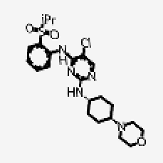 CC(C)S(=O)(=O)c1ccccc1Nc1nc(N[C@H]2CC[C@H](N3CCOCC3)CC2)ncc1Cl